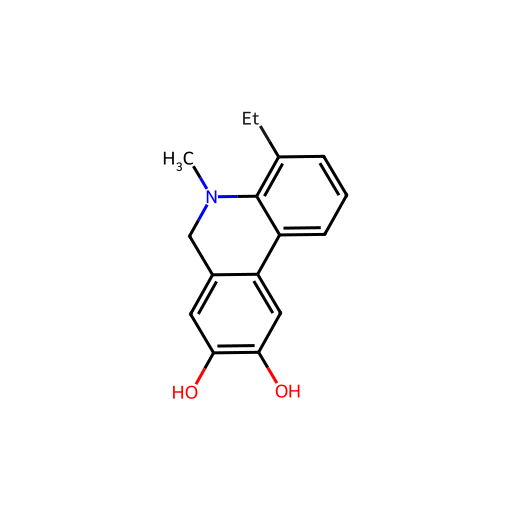 CCc1cccc2c1N(C)Cc1cc(O)c(O)cc1-2